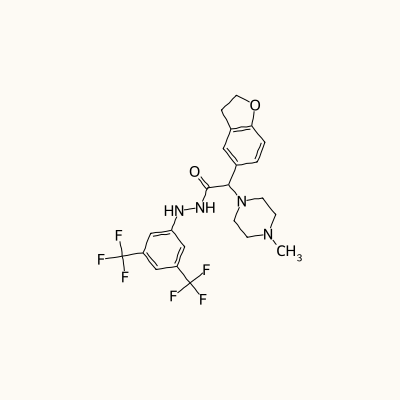 CN1CCN(C(C(=O)NNc2cc(C(F)(F)F)cc(C(F)(F)F)c2)c2ccc3c(c2)CCO3)CC1